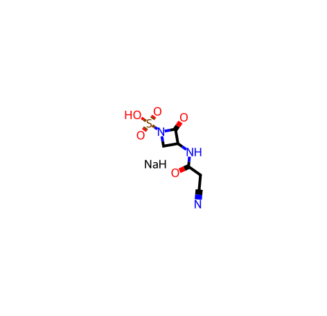 N#CCC(=O)NC1CN(S(=O)(=O)O)C1=O.[NaH]